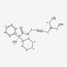 O=C(OCC#CCN(CO)CO)[C@](O)(c1ccccc1)C1CCCCC1